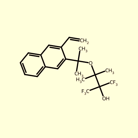 C=Cc1cc2ccccc2cc1C(C)(C)OC(C)(C)C(O)(C(F)(F)F)C(F)(F)F